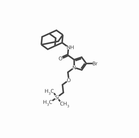 C[Si](C)(C)CCOCn1cc(Br)cc1C(=O)NC1C2CC3CC(C2)CC1C3